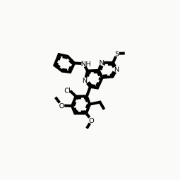 CCc1c(OC)cc(OC)c(Cl)c1-c1cc2cnc(SC)nc2c(Nc2ccccc2)n1